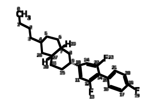 CCCCC1CC[C@@H]2C[C@H](c3cc(F)c(-c4ccc(F)cc4)c(F)c3)CC[C@@H]2C1